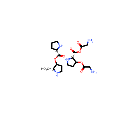 NCC(=O)OC(=O)[C@H]1NCCC1OC(=O)CN.O=C(OC1CCN[C@@H]1C(=O)O)[C@@H]1CCCN1